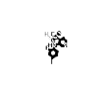 CS(=O)(=O)c1ccncc1Nc1ccc(I)cc1F